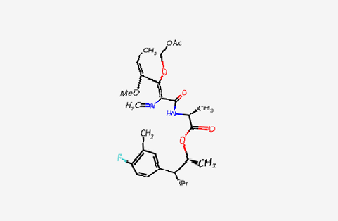 C=N/C(C(=O)N[C@@H](C)C(=O)O[C@@H](C)[C@H](c1ccc(F)c(C)c1)C(C)C)=C(OCOC(C)=O)\C(=C/C)OC